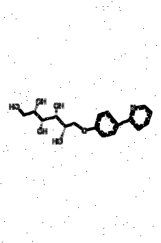 OC[C@H](O)[C@@H](O)[C@H](O)[C@@H](O)COc1ccc(-c2ccccn2)cc1